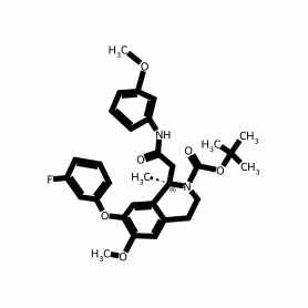 COc1cccc(NC(=O)C[C@]2(C)c3cc(Oc4cccc(F)c4)c(OC)cc3CCN2C(=O)OC(C)(C)C)c1